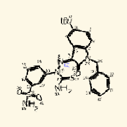 CC(C)(C)c1ccc2c(c1)/C(=N/N(C(N)=S)c1cccc(S(N)(=O)=O)c1)C(=O)N2Cc1ccccc1